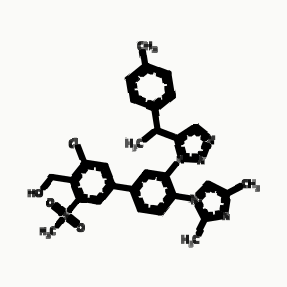 Cc1ccc(C(C)c2cnnn2-c2cc(-c3cc(Cl)c(CO)c(S(C)(=O)=O)c3)ccc2-n2cc(C)nc2C)cc1